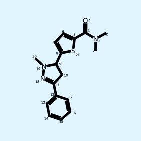 CN(C)C(=O)c1ccc(C2CC(c3ccccc3)=NN2C)s1